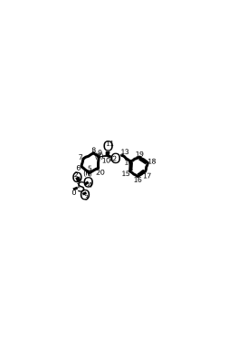 CS(=O)(=O)O[C@@H]1CCC[C@@H](C(=O)OCc2ccccc2)C1